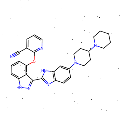 N#Cc1cccnc1Oc1cccc2[nH]nc(-c3nc4ccc(N5CCC(N6CCCCC6)CC5)cc4[nH]3)c12